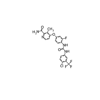 Cc1c(Oc2ccc(NC(=O)Nc3ccc(Cl)c(C(F)(F)F)c3)c(F)c2)ccnc1C(N)=O